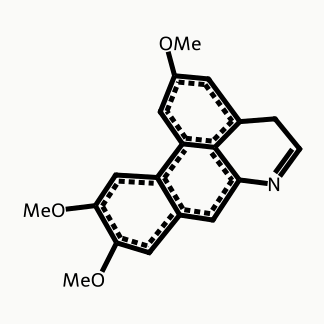 COc1cc2c3c(cc4cc(OC)c(OC)cc4c3c1)N=CC2